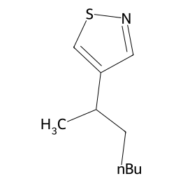 CCCCCC(C)c1cnsc1